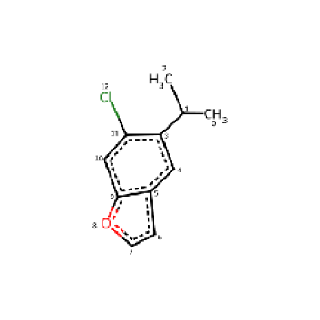 CC(C)c1cc2ccoc2cc1Cl